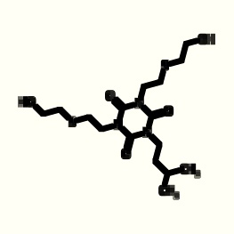 CC(C)CCn1c(=O)n(CCSCCO)c(=O)n(CCSCCO)c1=O